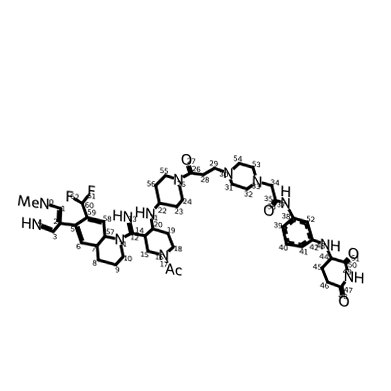 CN/C=C(\C=N)C1=CC2CCCN(C(=N)C3CN(C(C)=O)CCC3NC3CCN(C(=O)CCN4CCN(CC(=O)Nc5cccc(NC6CCC(=O)NC6=O)c5)CC4)CC3)C2C=C1C(F)F